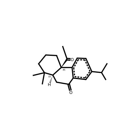 CC(=O)[C@]12CCCC(C)(C)[C@@H]1CC(=O)c1cc(C(C)C)ccc12